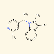 CC(=O)c1c(C)n(C(C)c2ccnc(C(F)(F)F)c2)c2ccccc12